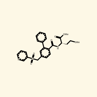 COC(=O)[C@H](CCSC)NC(=O)c1ccc(CS(=O)(=O)c2cccnc2)cc1-c1ccccc1